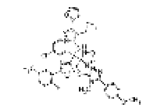 CCn1c(SC(c2cccc(Cl)c2)(c2noc(-c3cc(C)ccc3F)n2)C2(CSc3nnc(-c4ccc(OC)cc4)n3C)N=CON2)nnc1-c1ccco1